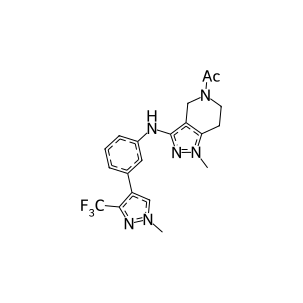 CC(=O)N1CCc2c(c(Nc3cccc(-c4cn(C)nc4C(F)(F)F)c3)nn2C)C1